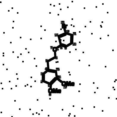 COc1ccc(CCOc2cccc(Br)c2)cc1OC